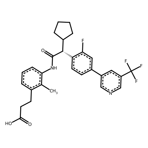 Cc1c(CCC(=O)O)cccc1NC(=O)[C@@H](c1ccc(-c2cncc(C(F)(F)F)c2)cc1F)C1CCCC1